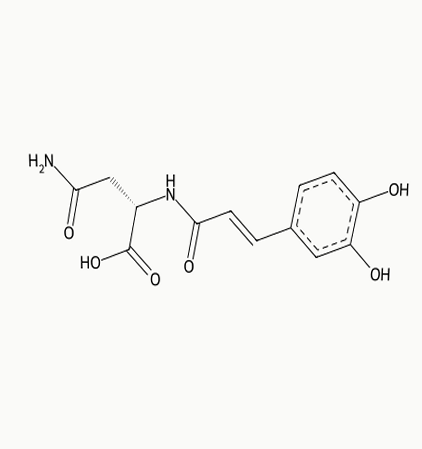 NC(=O)C[C@H](NC(=O)/C=C/c1ccc(O)c(O)c1)C(=O)O